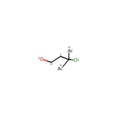 CC(=O)C(Cl)(CC[O])C(C)=O